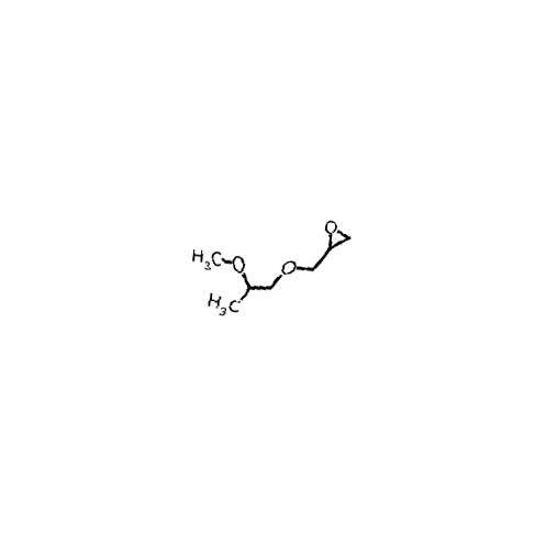 COC(C)COCC1CO1